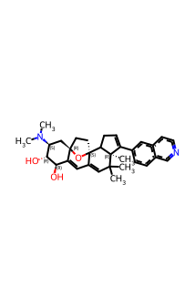 CN(C)[C@H]1C[C@@]23CC[C@@]4(O2)C(=CC(C)(C)[C@]2(C)C(c5ccc6cnccc6c5)=CCC42)C=C3[C@@H](O)[C@@H]1O